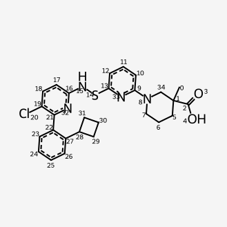 CC1(C(=O)O)CCCN(c2cccc(SNc3ccc(Cl)c(-c4ccccc4C4CCC4)n3)n2)C1